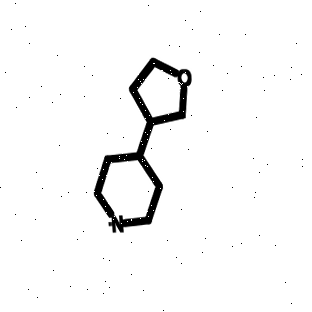 C1CC(C2CCOC2)CC[N]1